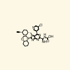 C#C[C@H]1CC[C@H](Cn2c(N3CCOC4CCCCC43)nc3nc(C(=N)NC(=O)O)nc(-c4cncc(Cl)c4)c32)CC1